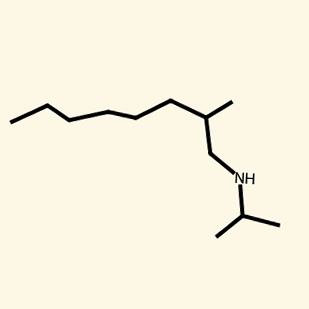 CCCCCCC(C)CNC(C)C